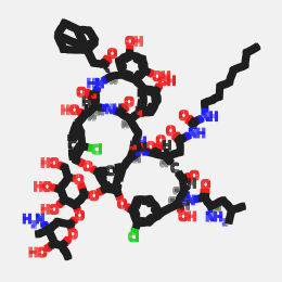 CCCCCCCCNC(=O)NC(=O)C[C@@H]1CC(=O)[C@H](NC(=O)[C@H](N)CC(C)C)[C@H](O)c2ccc(c(Cl)c2)Oc2cc3cc(c2OC2OC(CO)C(O)C(O)C2OC2CC(C)(N)C(O)C(C)O2)Oc2ccc(cc2Cl)[C@@H](O)[C@@H]2NC(=O)[C@H](CC(=O)[C@@H]3NC1=O)c1ccc(O)c(c1)-c1c(O)cc(O)cc1[C@@H](C(=O)CC1C3CC4CC(C3)CC1C4)NC2=O